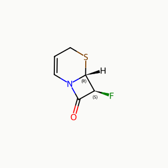 O=C1[C@H](F)[C@H]2SCC=CN12